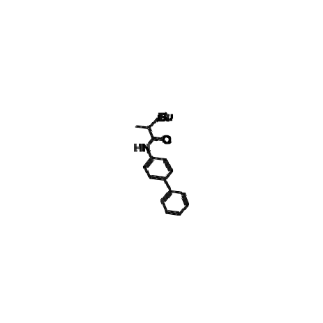 CCC(C)C(C)C(=O)Nc1ccc(-c2ccccc2)cc1